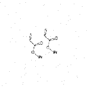 C=CC(=O)OC(C)C.C=CC(=O)OC(C)C